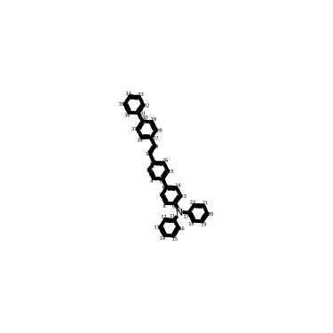 C(=Cc1ccc(-c2ccc(N(c3ccccc3)c3ccccc3)cc2)cc1)c1ccc(-c2ccccc2)cc1